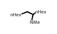 CCCCCCCC(CCCCCC)NC